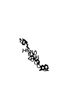 COc1nc(NCCCN2CCN(C)CC2)nc(OC)c1NC(=O)c1ccc(Oc2cc3c(cc2C)[Si](C)(C)CCC3)o1